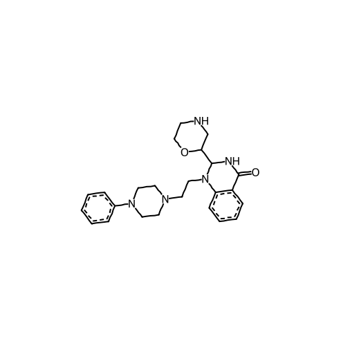 O=C1NC(C2CNCCO2)N(CCN2CCN(c3ccccc3)CC2)c2ccccc21